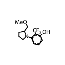 COCC1CCCN1c1cccc(O)c1C(F)(F)F